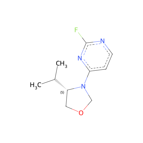 CC(C)[C@H]1COCN1c1ccnc(F)n1